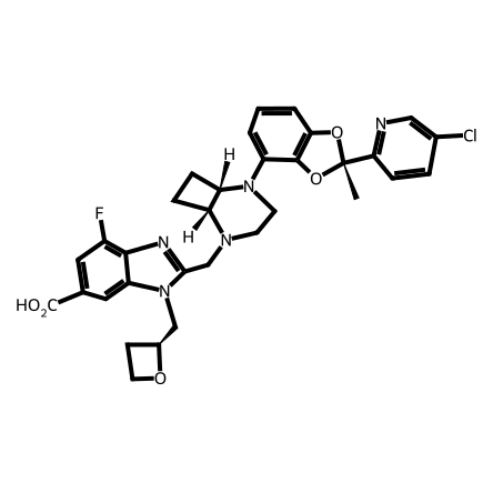 C[C@]1(c2ccc(Cl)cn2)Oc2cccc(N3CCN(Cc4nc5c(F)cc(C(=O)O)cc5n4C[C@@H]4CCO4)[C@@H]4CC[C@@H]43)c2O1